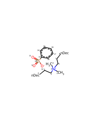 CCCCCCCCCCCC[N+](C)(C)CCCCCCCCCCCC.O=S(=O)([O-])c1ccccc1